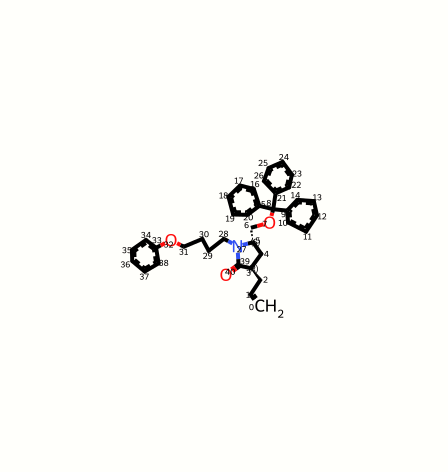 C=CC[C@@H]1C[C@@H](COC(c2ccccc2)(c2ccccc2)c2ccccc2)N(CCCCOc2ccccc2)C1=O